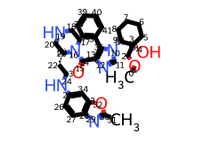 COC[C@]1(O)CCCC[C@H]1n1cnc(C(=O)N2CCNC[C@H]2CCNc2ccc3nc(C)oc3c2)c1-c1ccccc1